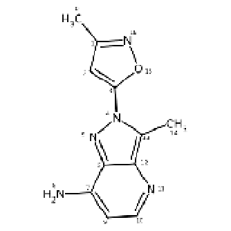 Cc1cc(-n2nc3c(N)ccnc3c2C)on1